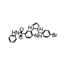 O=S(=O)(Nc1ccccc1)c1ccc2c(c1)[C@H]1C=CC[C@H]1[C@@H](c1ccc(Br)cc1)N2